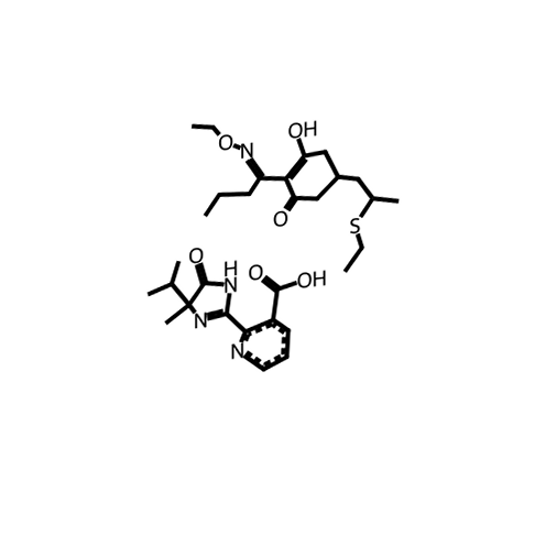 CC(C)C1(C)N=C(c2ncccc2C(=O)O)NC1=O.CCC/C(=N\OCC)C1=C(O)CC(CC(C)SCC)CC1=O